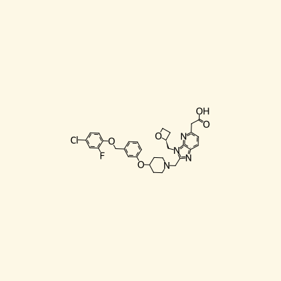 O=C(O)Cc1ccc2nc(CN3CCC(Oc4cccc(COc5ccc(Cl)cc5F)c4)CC3)n(C[C@@H]3CCO3)c2n1